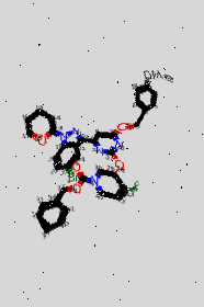 COc1ccc(COc2cc(-c3nn(C4CCCCO4)c4ccc(Br)cc34)nc(O[C@H]3CN(C(=O)OCc4ccccc4)CC[C@@H]3F)n2)cc1